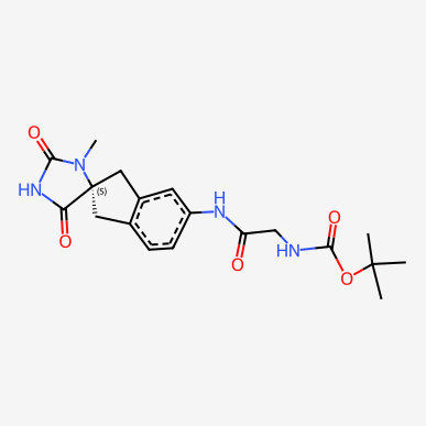 CN1C(=O)NC(=O)[C@@]12Cc1ccc(NC(=O)CNC(=O)OC(C)(C)C)cc1C2